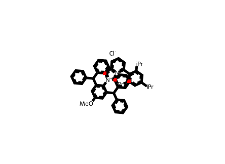 COc1cc(C(c2ccccc2)c2ccccc2)c(-[n+]2cc3cccc(-c4c(C(C)C)cc(C(C)C)cc4C(C)C)n3c2)c(C(c2ccccc2)c2ccccc2)c1.[Cl-]